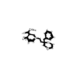 COC(=O)C1CN(CCC2(Cc3ccccc3)COCCO2)CCC1=O